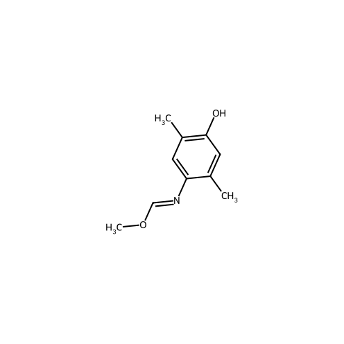 COC=Nc1cc(C)c(O)cc1C